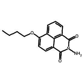 CCCCOc1ccc2c3c(cccc13)C(=O)N(N)C2=O